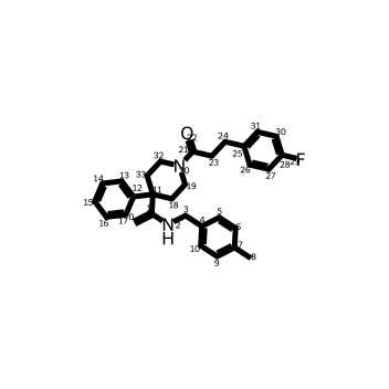 C=C(NCc1ccc(C)cc1)C1(c2ccccc2)CCN(C(=O)CCc2ccc(F)cc2)CC1